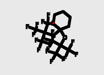 FC(F)(F)C(OC1(OC(C(F)(F)F)(C(F)(F)F)C(F)(F)F)CCCCC1)(C(F)(F)F)C(F)(F)F